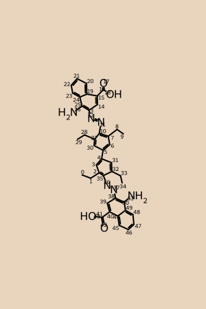 CCc1cc(-c2cc(CC)c(/N=N/c3cc(C(=O)O)c4ccccc4c3N)c(CC)c2)cc(CC)c1/N=N/c1cc(C(=O)O)c2ccccc2c1N